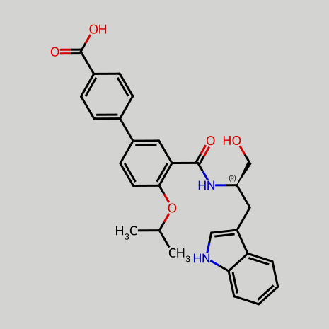 CC(C)Oc1ccc(-c2ccc(C(=O)O)cc2)cc1C(=O)N[C@@H](CO)Cc1c[nH]c2ccccc12